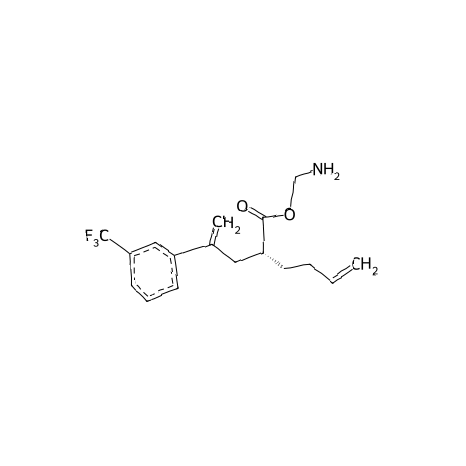 C=CCC[C@H](CC(=C)c1cccc(C(F)(F)F)c1)C(=O)OCN